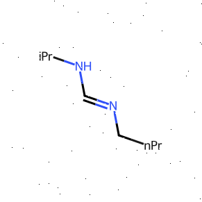 CCCCN=CNC(C)C